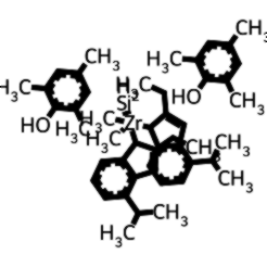 CCC1=Cc2c(C(C)C)cccc2[CH]1[Zr]([CH3])([CH3])(=[SiH2])[CH]1C(CC)=Cc2c(C(C)C)cccc21.Cc1cc(C)c(O)c(C)c1.Cc1cc(C)c(O)c(C)c1